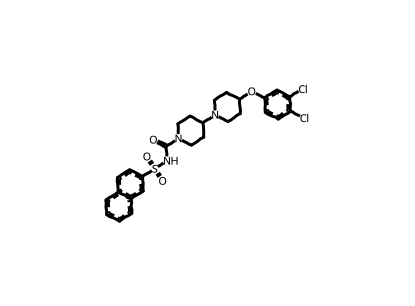 O=C(NS(=O)(=O)c1ccc2ccccc2c1)N1CCC(N2CCC(Oc3ccc(Cl)c(Cl)c3)CC2)CC1